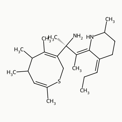 CC/C=C1/CCC(C)N/C1=C(/C)[C@](C)(N)/C1=C(\C)C(C)C(C)/C=C(/C)SC1